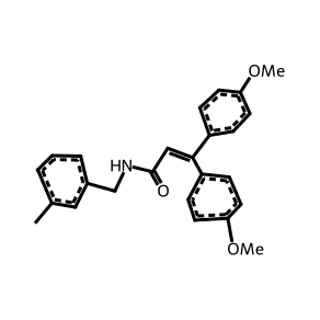 COc1ccc(C(=CC(=O)NCc2cccc(C)c2)c2ccc(OC)cc2)cc1